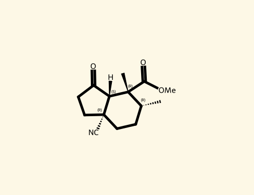 COC(=O)[C@]1(C)[C@H](C)CC[C@@]2(C#N)CCC(=O)[C@@H]21